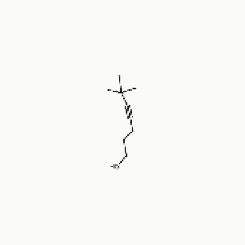 CC(C)(C)C#CCCCO